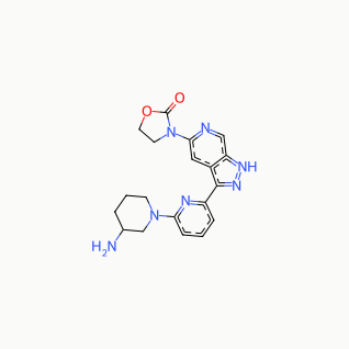 NC1CCCN(c2cccc(-c3n[nH]c4cnc(N5CCOC5=O)cc34)n2)C1